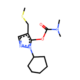 CSCc1cnn(C2CCCCC2)c1OC(=O)N(C)C